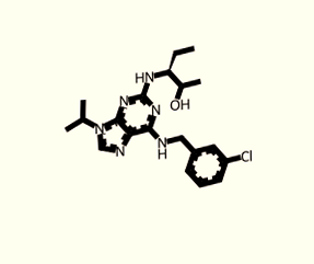 CC[C@H](Nc1nc(NCc2cccc(Cl)c2)c2ncn(C(C)C)c2n1)C(C)O